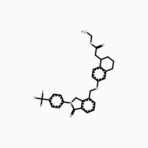 CCOC(=O)CC1CCCc2cc(OCc3cccc4c3CN(c3ccc(C(F)(F)F)cc3)C4=O)ccc21